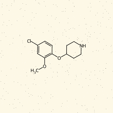 COc1cc(Cl)ccc1OC1CCNCC1